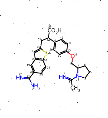 CC(=N)N1CCCC1COc1ccc(C(Cc2cc3cc(C(=N)N)ccc3s2)C(=O)O)cc1